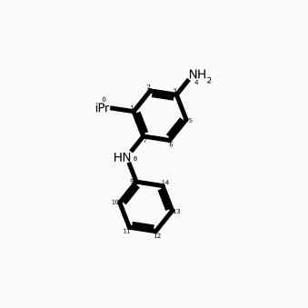 CC(C)c1cc(N)ccc1Nc1ccccc1